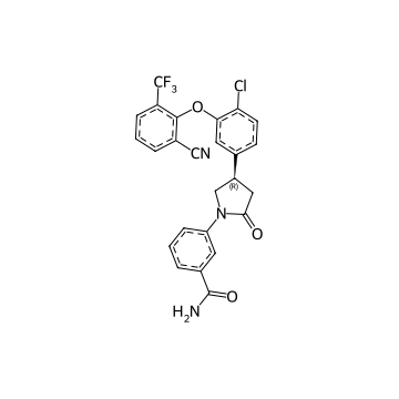 N#Cc1cccc(C(F)(F)F)c1Oc1cc([C@H]2CC(=O)N(c3cccc(C(N)=O)c3)C2)ccc1Cl